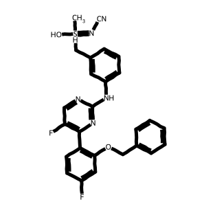 C[SH](O)(Cc1cccc(Nc2ncc(F)c(-c3ccc(F)cc3OCc3ccccc3)n2)c1)=NC#N